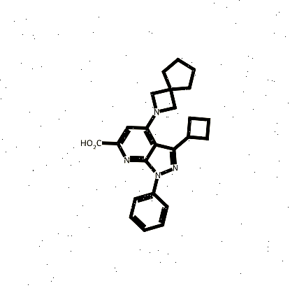 O=C(O)c1cc(N2CC3(CCCC3)C2)c2c(C3CCC3)nn(-c3ccccc3)c2n1